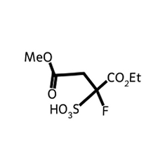 CCOC(=O)C(F)(CC(=O)OC)S(=O)(=O)O